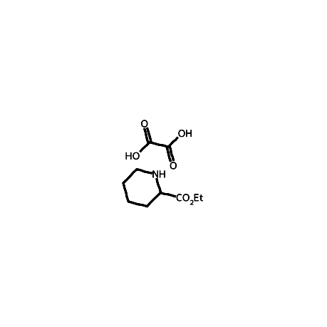 CCOC(=O)C1CCCCN1.O=C(O)C(=O)O